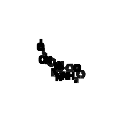 Nc1ncnc2c1c(-c1ccc(Oc3ccccc3)cc1)nn2C1CCN(C(=O)/C=C/COI)CC1